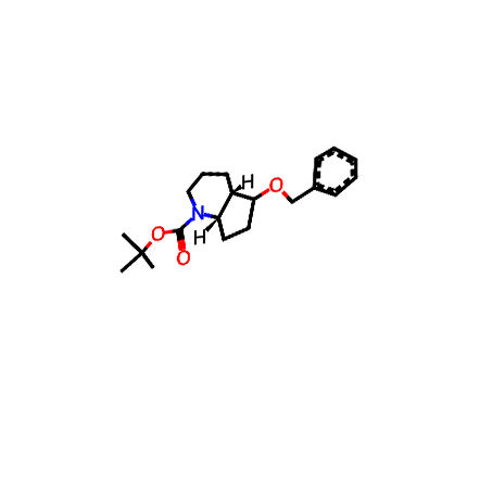 CC(C)(C)OC(=O)N1CCC[C@@H]2C(OCc3ccccc3)CC[C@@H]21